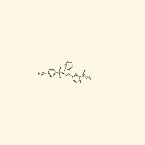 Cc1ccc(S(=O)(=O)n2cc(-c3ccnc([S+](C)[O-])n3)c3cccnc32)cc1